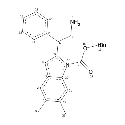 Cc1cc2cc(C(CN)c3ccccc3)n(C(=O)OC(C)(C)C)c2cc1C